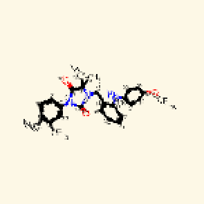 CC1(C)C(=O)N(c2ccc(C#N)c(C(F)(F)F)c2)C(=O)N1Cc1ccccc1Nc1ccc(OC(F)(F)F)cc1